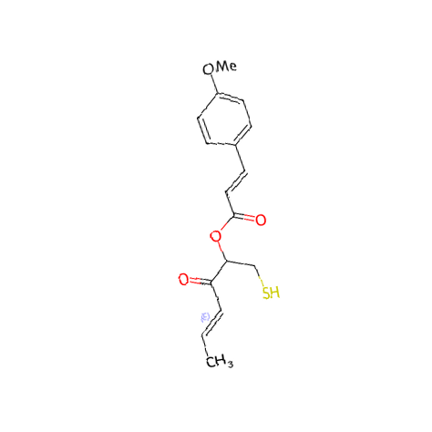 C/C=C/C(=O)C(CS)OC(=O)C=Cc1ccc(OC)cc1